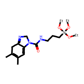 CCO[Si](CCCNC(=O)N1CN=C2CC(C)=C(C)C=C21)(OCC)OCC